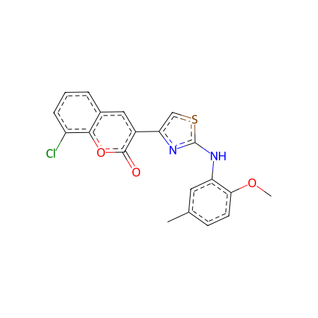 COc1ccc(C)cc1Nc1nc(-c2cc3cccc(Cl)c3oc2=O)cs1